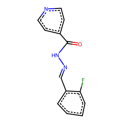 O=C(NN=Cc1ccccc1F)c1ccncc1